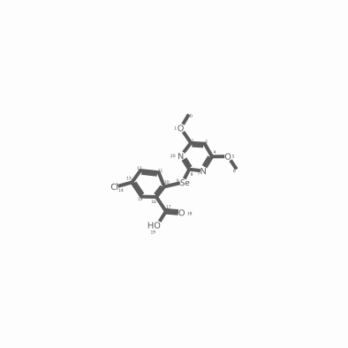 COc1cc(OC)nc([Se]c2ccc(Cl)cc2C(=O)O)n1